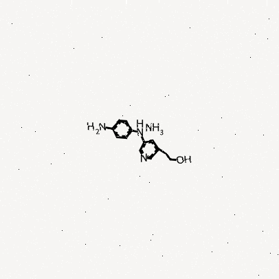 N.Nc1ccc(Nc2cncc(CCO)c2)cc1